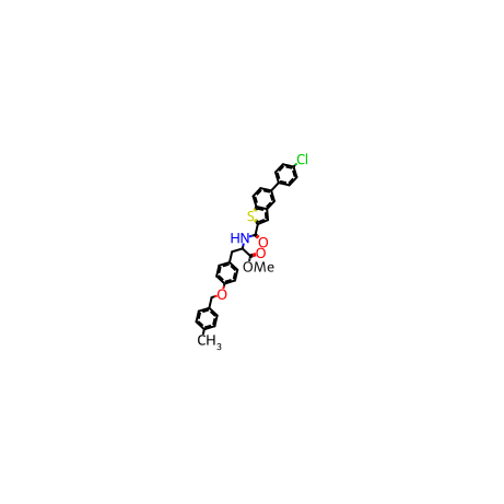 COC(=O)C(Cc1ccc(OCc2ccc(C)cc2)cc1)NC(=O)c1cc2cc(-c3ccc(Cl)cc3)ccc2s1